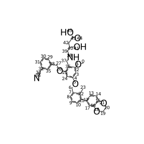 COc1cc(OCc2cccc(-c3ccc4c(c3)OCCO4)c2C)cc(OCc2cccc(C#N)c2)c1CNCC(O)CC(=O)O